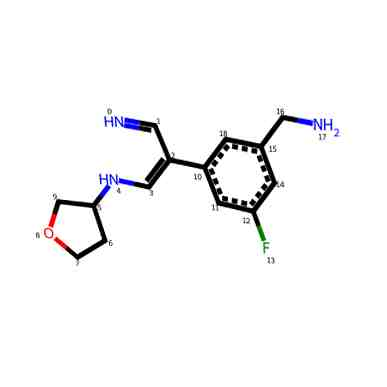 N=C/C(=C\NC1CCOC1)c1cc(F)cc(CN)c1